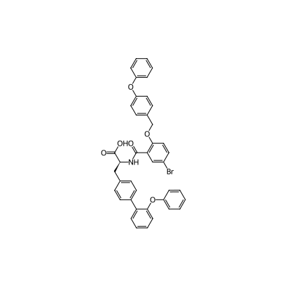 O=C(N[C@@H](Cc1ccc(-c2ccccc2Oc2ccccc2)cc1)C(=O)O)c1cc(Br)ccc1OCc1ccc(Oc2ccccc2)cc1